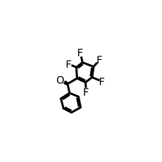 O=C(c1ccccc1)c1c(F)c(F)c(F)c(F)c1F